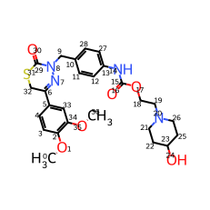 COc1ccc(C2=NN(Cc3ccc(NC(=O)OCCN4CCC(O)CC4)cc3)C(=O)SC2)cc1OC